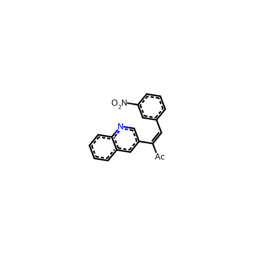 CC(=O)/C(=C/c1cccc([N+](=O)[O-])c1)c1cnc2ccccc2c1